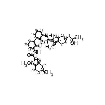 C[C@@H](O)CN1CCc2c(nc(C(=O)Nc3cccc(-c4cccc(NC(=O)c5nc6c(n5C)CCN(C)C6)c4Cl)c3Cl)n2C)C1